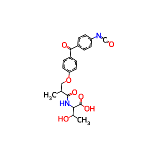 CC(COc1ccc(C(=O)c2ccc(N=C=O)cc2)cc1)C(=O)NC(C(=O)O)C(C)O